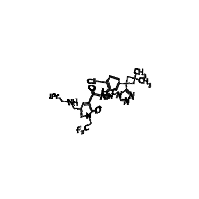 CC(C)CNCc1cc(C(=O)Nc2cc(C3(c4nncn4C)CC(C)(C)C3)ccc2Cl)c(=O)n(CC(F)(F)F)c1